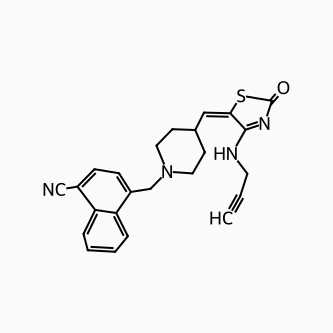 C#CCNC1=NC(=O)SC1=CC1CCN(Cc2ccc(C#N)c3ccccc23)CC1